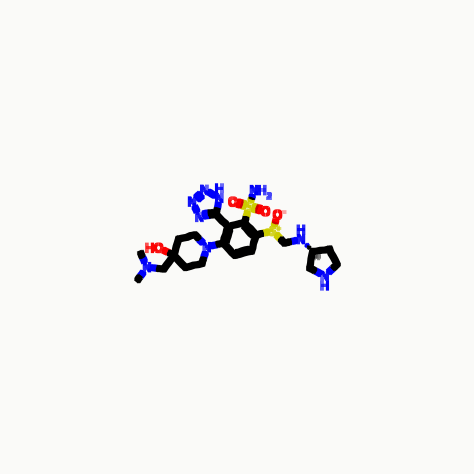 CN(C)CC1(O)CCN(c2ccc([S+]([O-])CN[C@@H]3CCNC3)c(S(N)(=O)=O)c2-c2nnn[nH]2)CC1